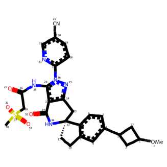 COC1CC(c2ccc3c(c2)CC[C@]32Cc3nn(-c4ccc(C#N)cn4)c(NC(=O)CS(C)(=O)=O)c3C(=O)N2)C1